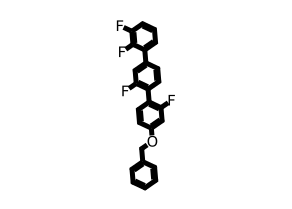 Fc1cc(OCc2ccccc2)ccc1-c1ccc(-c2cccc(F)c2F)cc1F